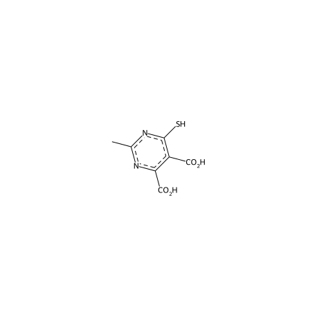 Cc1nc(S)c(C(=O)O)c(C(=O)O)n1